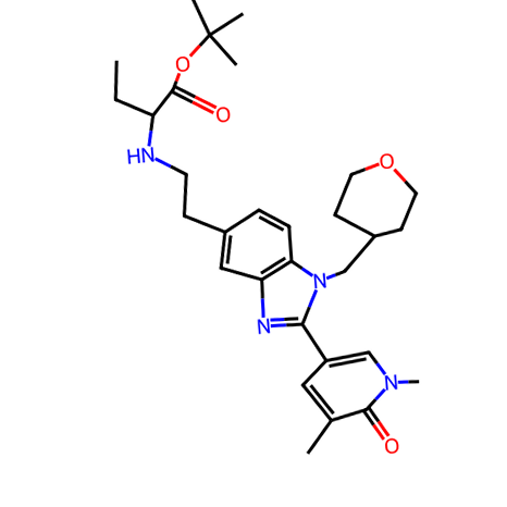 CCC(NCCc1ccc2c(c1)nc(-c1cc(C)c(=O)n(C)c1)n2CC1CCOCC1)C(=O)OC(C)(C)C